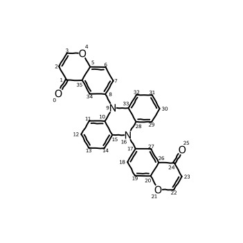 O=c1ccoc2ccc(N3c4ccccc4N(c4ccc5occc(=O)c5c4)c4ccccc43)cc12